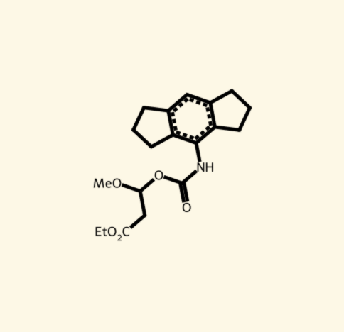 CCOC(=O)CC(OC)OC(=O)Nc1c2c(cc3c1CCC3)CCC2